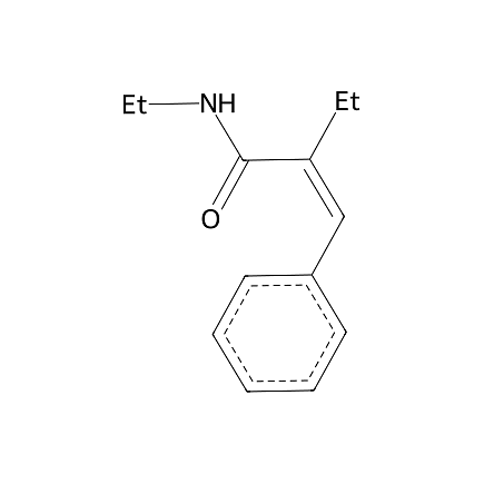 CCNC(=O)/C(=C\c1ccccc1)CC